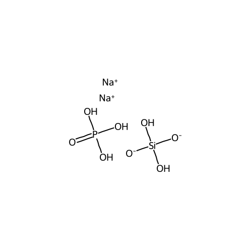 O=P(O)(O)O.[Na+].[Na+].[O-][Si]([O-])(O)O